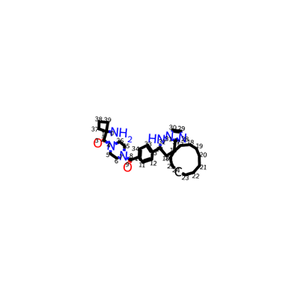 NC1(C(=O)N2CCN(C(=O)c3ccc(C4CC5(CCCCCCCCCC5)c5nccn5N4)cc3)CC2)CCC1